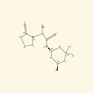 CCC(C(=O)O[C@@H]1C[C@H](C)CC(C)(C)C1)N1CCCC1=O